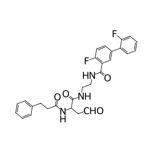 O=CCC(NC(=O)CCc1ccccc1)C(=O)NCCNC(=O)c1cc(-c2ccccc2F)ccc1F